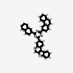 c1ccc2cc(-c3nc(-c4ccc5c(c4)ncc4oc6ccccc6c45)nc(-c4ccc5ccc6ccccc6c5c4)n3)ccc2c1